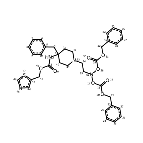 O=C(NC1(Cc2ccccc2)CCN(CCN(OC(=O)OCc2ccccc2)OC(=O)OCc2ccccc2)CC1)OCc1cncs1